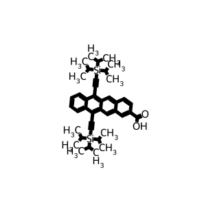 CC(C)[Si](C#Cc1c2ccccc2c(C#C[Si](C(C)C)(C(C)C)C(C)C)c2cc3cc(C(=O)O)ccc3cc12)(C(C)C)C(C)C